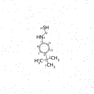 CC(C)(C)c1ccc(NCS)cc1